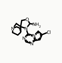 NC1OCC2(CN3CCC2CC3)N1c1ncnc2cc(Cl)cn12